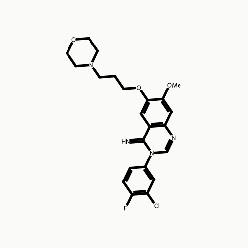 COc1cc2ncn(-c3ccc(F)c(Cl)c3)c(=N)c2cc1OCCCN1CCOCC1